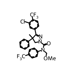 COCN(C(=O)N1CC(C)(c2ccccc2)C(c2ccc(C(F)(F)F)c(Cl)c2)=N1)c1ccc(C(F)(F)F)cc1